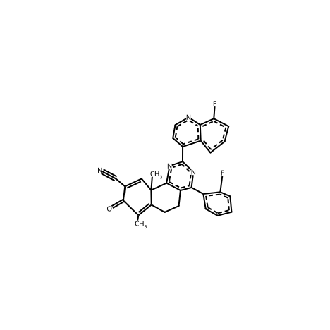 CC1=C2CCc3c(-c4ccccc4F)nc(-c4ccnc5c(F)cccc45)nc3C2(C)C=C(C#N)C1=O